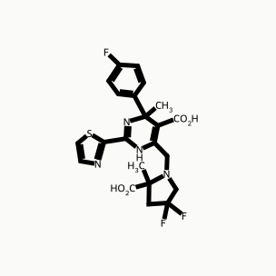 CC1(c2ccc(F)cc2)N=C(c2nccs2)NC(CN2CC(F)(F)CC2(C)C(=O)O)=C1C(=O)O